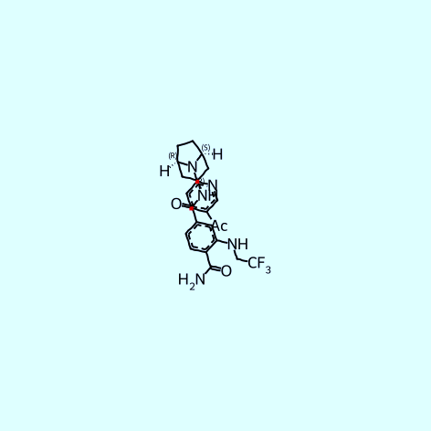 CC(=O)c1ccc(N2[C@@H]3CC[C@H]2C[C@@H](NC(=O)c2ccc(C(N)=O)c(NCC(F)(F)F)c2)C3)nc1